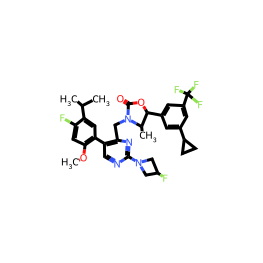 COc1cc(F)c(C(C)C)cc1-c1cnc(N2CC(F)C2)nc1CN1C(=O)OC(c2cc(C3CC3)cc(C(F)(F)F)c2)C1C